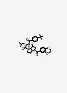 CC(C)C[C@H](NC(=O)c1ccc(C(C)(C)C)cc1)C(=O)N1CCC2C1C(=O)CN2C(=O)c1ccc2c(c1)OCCO2